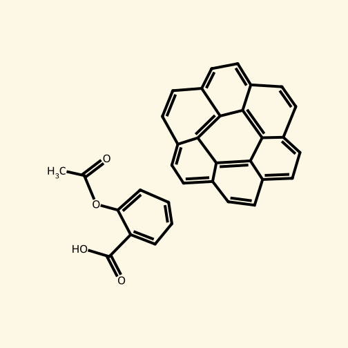 CC(=O)Oc1ccccc1C(=O)O.c1cc2ccc3ccc4ccc5ccc6ccc1c1c2c3c4c5c61